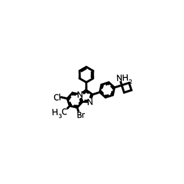 Cc1c(Cl)cn2c(C3C=CC=CC3)c(-c3ccc(C4(N)CCC4)cc3)nc2c1Br